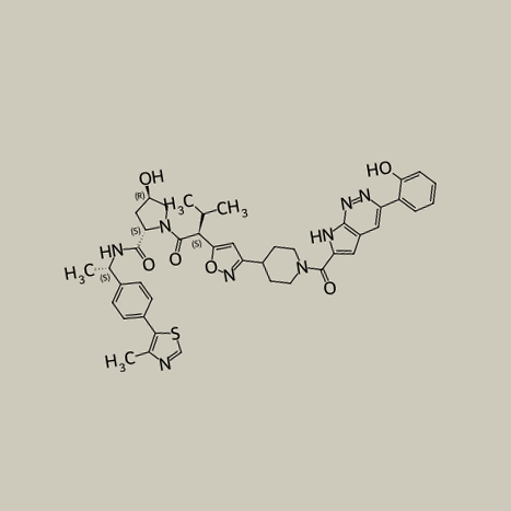 Cc1ncsc1-c1ccc([C@H](C)NC(=O)[C@@H]2C[C@@H](O)CN2C(=O)[C@H](c2cc(C3CCN(C(=O)c4cc5cc(-c6ccccc6O)nnc5[nH]4)CC3)no2)C(C)C)cc1